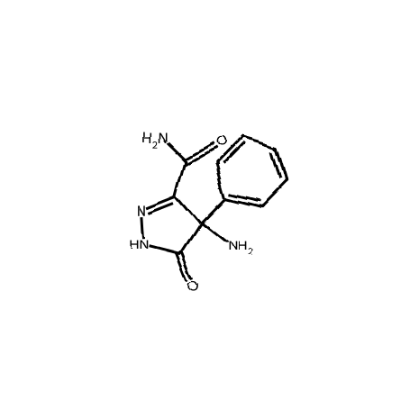 NC(=O)C1=NNC(=O)C1(N)c1ccccc1